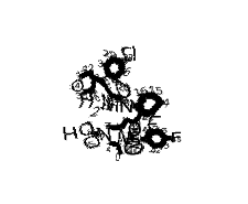 CC1CN(C(=O)O)CC(CCc2c(F)cccc2NC(=O)[C@@H](N)[C@@H](c2ccc(Cl)cc2)C2CCOCC2)N1S(=O)(=O)c1ccc(F)cc1